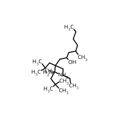 CCCCC(C)CC(O)CC(CCCC)(CC(C)(C)C)C(N)(N)CC(C)(C)C